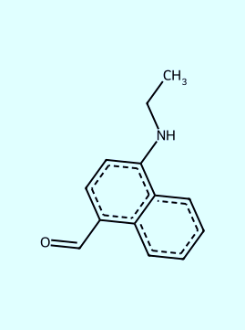 CCNc1ccc(C=O)c2ccccc12